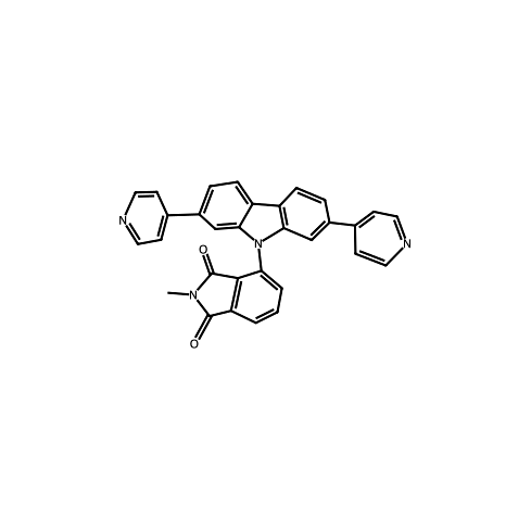 CN1C(=O)c2cccc(-n3c4cc(-c5ccncc5)ccc4c4ccc(-c5ccncc5)cc43)c2C1=O